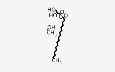 CCCCCCCCCCCCCCCCCC(=O)OC(=O)C(O)CO.CCO